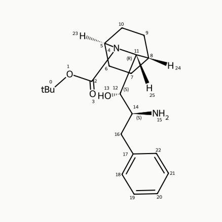 CC(C)(C)OC(=O)N1[C@H]2CC[C@@H](CC2)[C@@H]1[C@@H](O)[C@@H](N)Cc1ccccc1